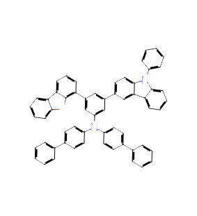 c1ccc(-c2ccc(N(c3ccc(-c4ccccc4)cc3)c3cc(-c4ccc5c(c4)c4ccccc4n5-c4ccccc4)cc(-c4cccc5c4sc4ccccc45)c3)cc2)cc1